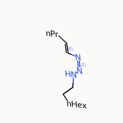 CCC/C=C/N=N\NCCCCCCCC